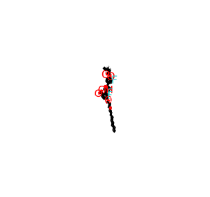 CCCCCCCCCCCCCCOc1ccc(C(=O)O)c(-c2ccc(-c3ccc(OC(=O)C[C@@H](C)CC)c(F)c3)cc2F)c1F